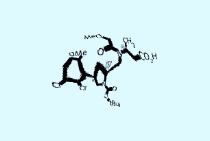 COCC(=O)N(C[C@@H]1C[C@H](c2c(OC)ccc(Cl)c2Cl)CN1C(=O)OC(C)(C)C)[C@@H](C)CC(=O)O